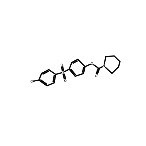 O=C(Oc1ccc(S(=O)(=O)c2ccc(Cl)cc2)cc1)N1CCCCC1